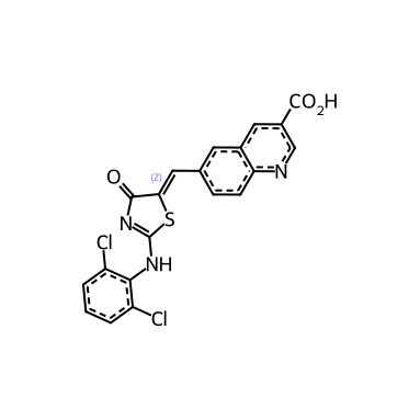 O=C1N=C(Nc2c(Cl)cccc2Cl)S/C1=C\c1ccc2ncc(C(=O)O)cc2c1